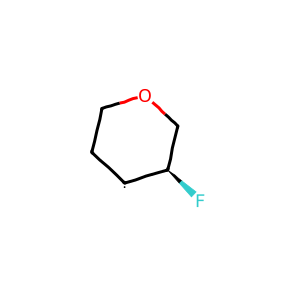 F[C@H]1[CH]CCOC1